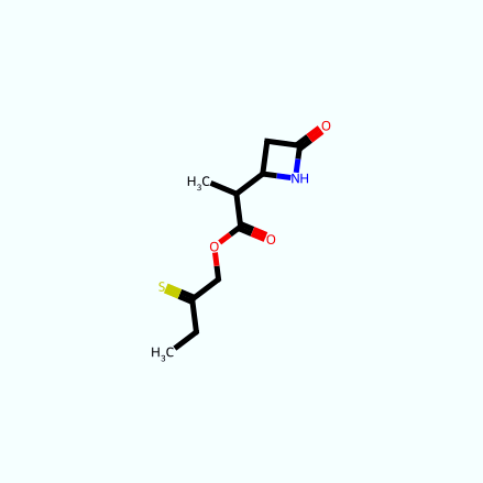 CCC(=S)COC(=O)C(C)C1CC(=O)N1